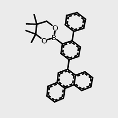 CC1(C)COB(c2cc(-c3cc4ccccc4c4ccccc34)ccc2-c2ccccc2)OC1(C)C